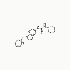 O=C(NC1CCCCC1)Oc1ccc2c(c1)CCN2Cc1ccccn1